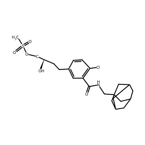 CS(=O)(=O)OC[C@H](O)CCc1ccc(Cl)c(C(=O)NCC23CC4CC(CC(C4)C2)C3)c1